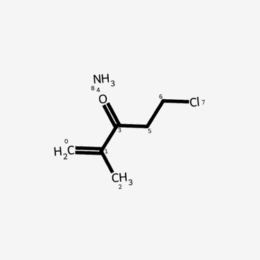 C=C(C)C(=O)CCCl.N